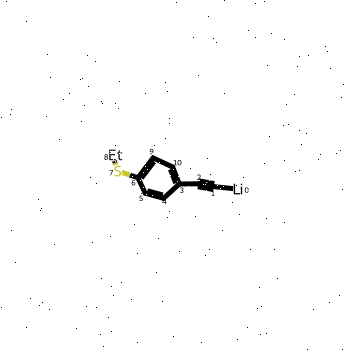 [Li][C]#Cc1ccc(SCC)cc1